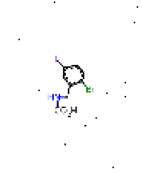 O=C(O)NCc1cc(I)ccc1Br